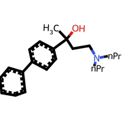 CCCN(CCC)CCC(C)(O)c1ccc(-c2ccccc2)cc1